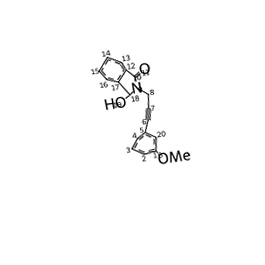 COc1cccc(C#CCN2C(=O)c3ccccc3C2O)c1